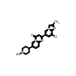 Cc1cn2cc(-c3cc(=O)n4cc(C5CCN(C(C)C)CC5)ccc4n3)cc(Cl)c2n1